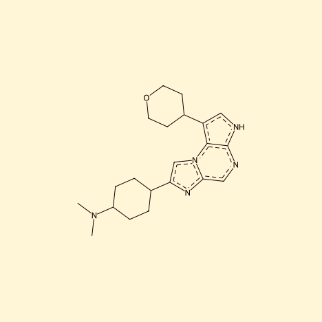 CN(C)C1CCC(c2cn3c(cnc4[nH]cc(C5CCOCC5)c43)n2)CC1